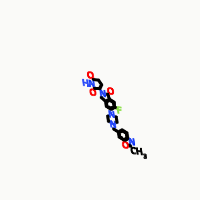 Cc1nc2ccc(CN3CCN(c4cc5c(cc4F)C(=O)N(C4CCC(=O)NC4=O)C5)CC3)cc2o1